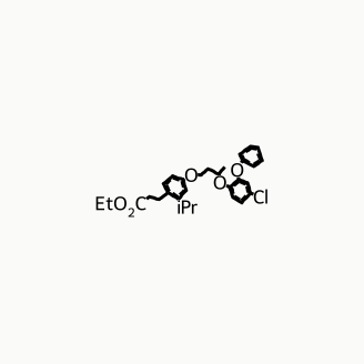 CCOC(=O)CCc1ccc(OCCC(C)Oc2ccc(Cl)cc2Oc2ccccc2)cc1C(C)C